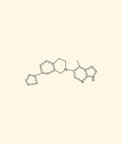 Cc1c(N2CCc3ccc(-c4ccsc4)cc3C2)cnc2[nH]ccc12